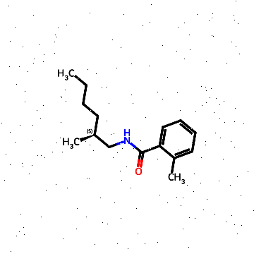 CCCC[C@H](C)CNC(=O)c1ccccc1C